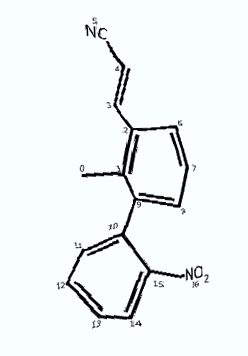 Cc1c(C=CC#N)cccc1-c1ccccc1[N+](=O)[O-]